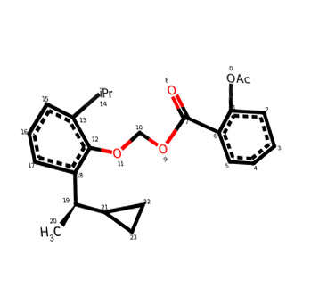 CC(=O)Oc1ccccc1C(=O)OCOc1c(C(C)C)cccc1[C@H](C)C1CC1